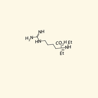 CCN[C@@](CC)(CCCCNC(=N)N)C(=O)O